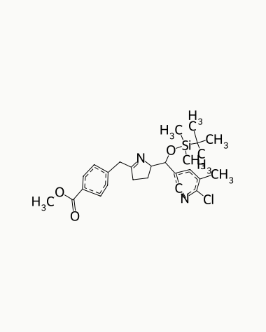 COC(=O)c1ccc(CC2=NC(C(O[Si](C)(C)C(C)(C)C)c3cnc(Cl)c(C)c3)CC2)cc1